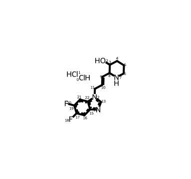 Cl.Cl.OC1CCCNC1/C=C/Cn1cnc2cc(F)c(F)cc21